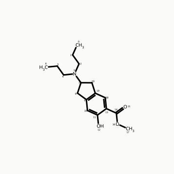 CCCN(CCC)C1Cc2cc(O)c(C(=O)OC)cc2C1